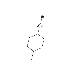 CC1CC[CH]([Mg][Br])CC1